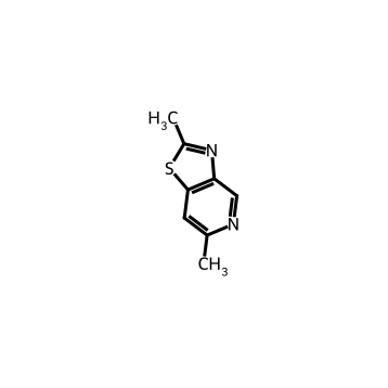 Cc1cc2sc(C)nc2cn1